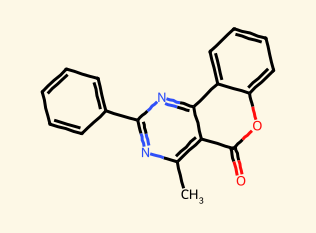 Cc1nc(-c2ccccc2)nc2c1c(=O)oc1ccccc12